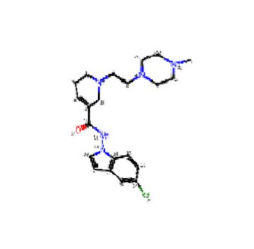 CN1CCN(CCN2CCC=C(C(=O)Nn3ccc4cc(Cl)ccc43)C2)CC1